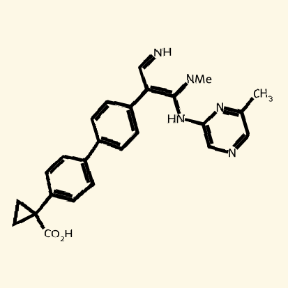 CN/C(Nc1cncc(C)n1)=C(\C=N)c1ccc(-c2ccc(C3(C(=O)O)CC3)cc2)cc1